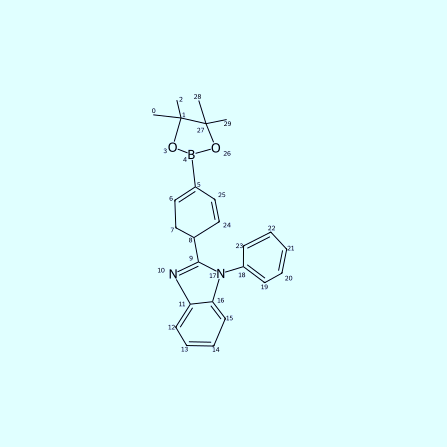 CC1(C)OB(C2=CCC(c3nc4ccccc4n3-c3ccccc3)C=C2)OC1(C)C